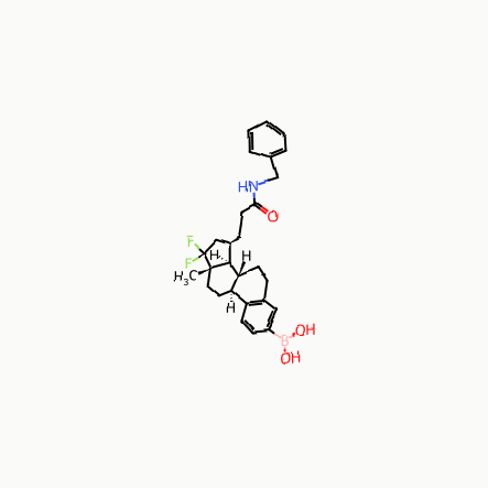 C[C@]12CC[C@@H]3c4ccc(B(O)O)cc4CC[C@H]3[C@@H]1[C@H](CCC(=O)NCc1ccccc1)CC2(F)F